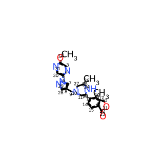 COc1cnc(-n2cc(CN3C[C@@H](c4ccc5c(c4C)COC5=O)N[C@@H](C)C3)cn2)cn1